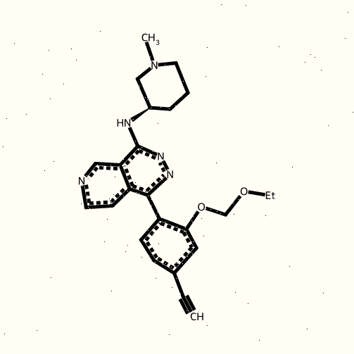 C#Cc1ccc(-c2nnc(N[C@@H]3CCCN(C)C3)c3cnccc23)c(OCOCC)c1